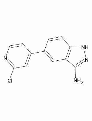 Nc1n[nH]c2ccc(-c3ccnc(Cl)c3)cc12